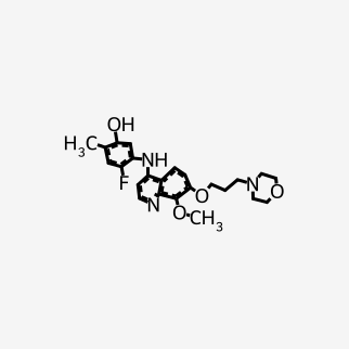 COc1c(OCCCN2CCOCC2)ccc2c(Nc3cc(O)c(C)cc3F)ccnc12